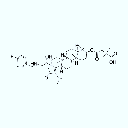 CC(C)C1=C2[C@H]3CC[C@H]4[C@@H](CC[C@H]5C(C)(C)[C@@H](OC(=O)CC(C)(C)C(=O)O)CC[C@]45C)[C@]3(C)CC[C@@]2([C@@H](O)CNCc2ccc(F)cc2)CC1=O